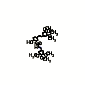 COc1cc(C=Cc2ccc(O)c(NC(=O)/C=C/c3cc(OC)c(OC)c(OC)c3)c2)cc(OC)c1OC